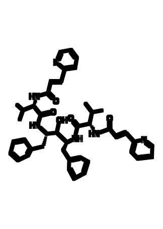 CC(C)[C@H](NC(=O)/C=C/c1ccccn1)C(=O)N[C@@H](Cc1ccccc1)C(O)[C@H](Cc1ccccc1)NC(=O)[C@@H](NC(=O)/C=C/c1ccccn1)C(C)C